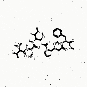 CC[C@H](C)[C@@H]([C@@H](CC(=O)N1CCC[C@H]1[C@H](OC)[C@@H](C)C(=O)N[C@@H](Cc1ccccc1)C(=O)OC)OC)N(C)C(=O)[C@H](CN)NC(=O)C(C(C)C)N(C)C